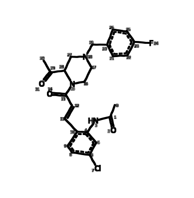 CC(=O)Nc1cc(Cl)ccc1/C=C/C(=O)N1CCN(Cc2ccc(F)cc2)CC1C(C)=O